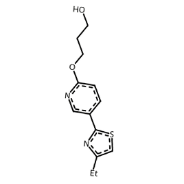 CCc1csc(-c2ccc(OCCCO)nc2)n1